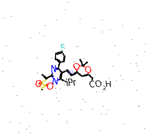 CC(C)c1nc(C(C)S(C)(=O)=O)nc(-c2ccc(F)cc2)c1/C=C/C1CC(CC(=O)O)OC(C)(C)O1